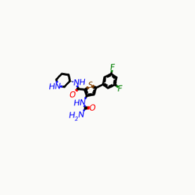 NC(=O)Nc1cc(-c2cc(F)cc(F)c2)sc1C(=O)N[C@H]1CCCNC1